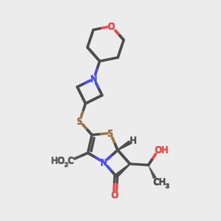 C[C@@H](O)[C@H]1C(=O)N2C(C(=O)O)=C(SC3CN(C4CCOCC4)C3)S[C@H]12